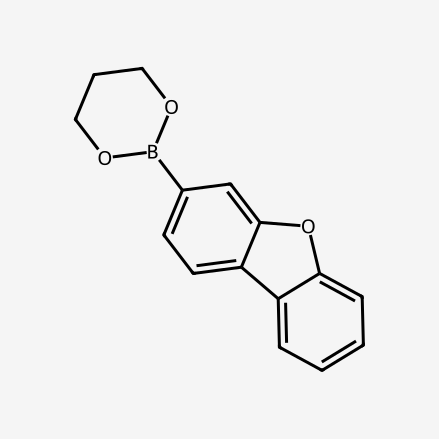 c1ccc2c(c1)oc1cc(B3OCCCO3)ccc12